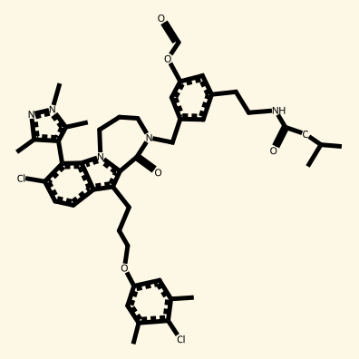 Cc1cc(OCCCc2c3n(c4c(-c5c(C)nn(C)c5C)c(Cl)ccc24)CCCN(Cc2cc(CCNC(=O)CC(C)C)cc(OC=O)c2)C3=O)cc(C)c1Cl